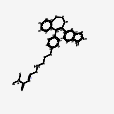 C=C(/C=C/CNCCCc1ccc(C2=C(c3ccc4[nH]ncc4c3)CCCc3ccccc32)cc1)N(C)C